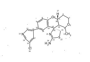 CC1OCC[C@H]2Oc3ccc(-c4cncc(Cl)c4)cc3[C@@]3(CSC(N)=N3)C12